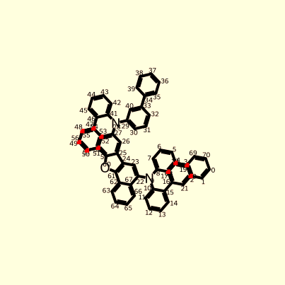 c1ccc(-c2cccc(N(c3ccccc3-c3ccccc3)c3cc4c5cc(N(c6cccc(-c7ccccc7)c6)c6ccccc6-c6ccccc6)c6ccccc6c5oc4c4ccccc34)c2)cc1